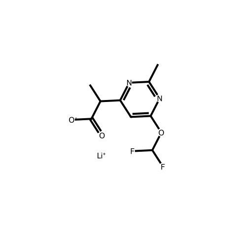 Cc1nc(OC(F)F)cc(C(C)C(=O)[O-])n1.[Li+]